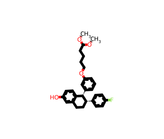 COC(CCCCOc1cccc([C@H]2c3ccc(O)cc3CC[C@H]2c2ccc(F)cc2)c1)OC